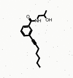 CCCCCC#Cc1cccc(C(=O)NCC(C)O)c1